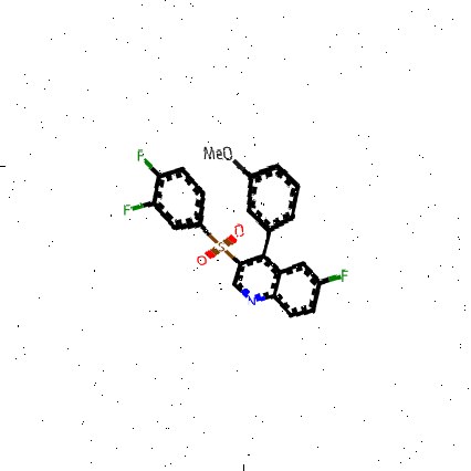 COc1cccc(-c2c(S(=O)(=O)c3ccc(F)c(F)c3)cnc3ccc(F)cc23)c1